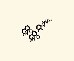 Cc1ccc2cccc([O-])c2n1.Cc1ccc2cccc([O-])c2n1.Cc1cccc(N=[N][Al+2])c1C